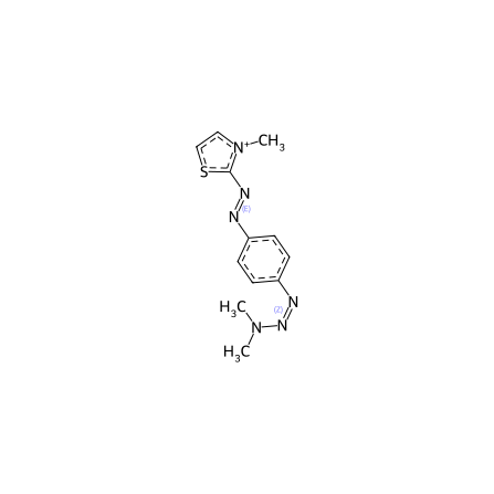 CN(C)/N=N\c1ccc(/N=N/c2scc[n+]2C)cc1